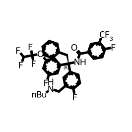 CCCCNCc1cc([C@@](Cc2ccccc2)(NC(=O)c2ccc(F)c(C(F)(F)F)c2)c2cc(F)cc(OC(F)(F)C(F)F)c2)ccc1F